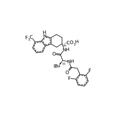 CCC(C)[C@H](NC(=O)Cc1c(F)cccc1F)C(=O)N[C@]1(C(=O)O)CCc2[nH]c3c(C(F)(F)F)cccc3c2C1